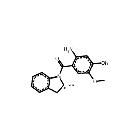 COc1cc(C(=O)N2c3ccccc3C[C@H]2C)c(N)cc1O